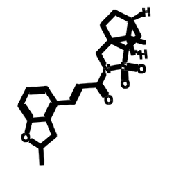 CC1Cc2c(C=CC(=O)N3CC45CC[C@H](C[C@H]4S3(=O)=O)C5(C)C)cccc2O1